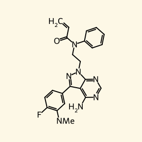 C=CC(=O)N(CCn1nc(-c2ccc(F)c(NC)c2)c2c(N)ncnc21)c1ccccc1